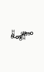 O=C(Nc1ncc(COC2CCCCC2)s1)C1CC(=O)N(c2ccc(CC3CNCCO3)cc2)C1